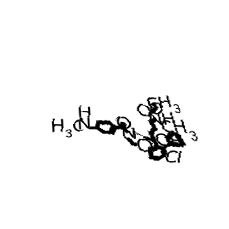 CNCc1ccc(C(=O)N2CCO[C@@H]([C@@](O)(CCCNC(=O)OC)c3cccc(Cl)c3-c3cccc(C)c3)C2)cc1